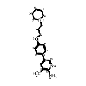 Cc1cc(-c2ccc(OCCCN3CCCCC3)cc2)cnc1N